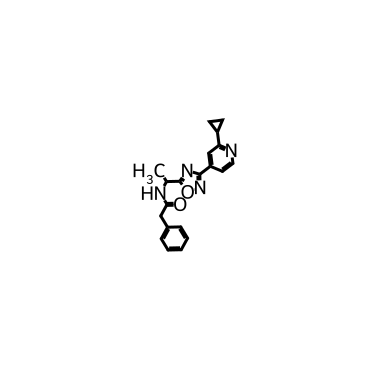 CC(NC(=O)Cc1ccccc1)c1nc(-c2ccnc(C3CC3)c2)no1